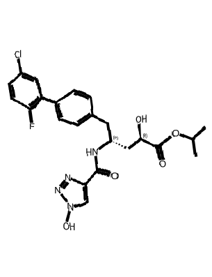 CC(C)OC(=O)[C@H](O)C[C@@H](Cc1ccc(-c2cc(Cl)ccc2F)cc1)NC(=O)c1cn(O)nn1